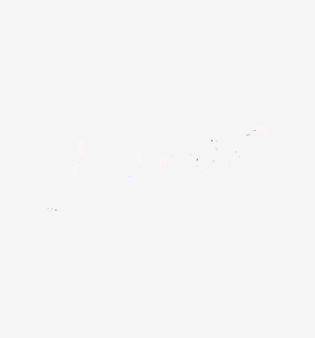 COc1ccc2c(CCNC(=O)CO[C@H]3CC[C@H]4[C@@H]5CC[C@H]6C[C@H](O)CC[C@]6(C)[C@H]5CC[C@]34C)cc(=O)oc2c1